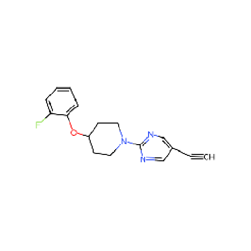 C#Cc1cnc(N2CCC(Oc3ccccc3F)CC2)nc1